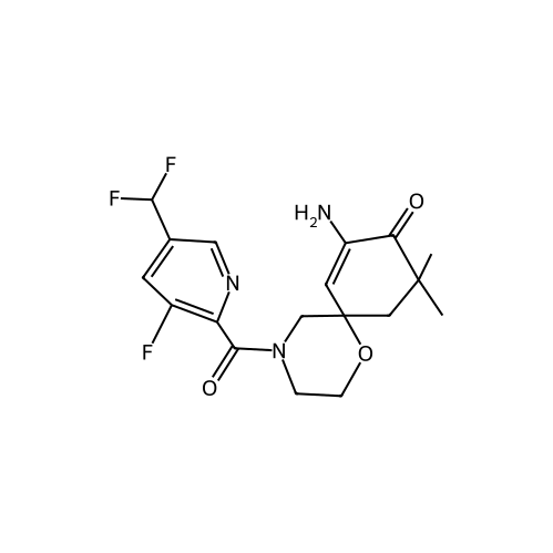 CC1(C)CC2(C=C(N)C1=O)CN(C(=O)c1ncc(C(F)F)cc1F)CCO2